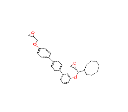 C1=C(c2ccc(OCC3CO3)cc2)CC=C(c2cccc(OC(C3CCCCCCC3)C3CO3)c2)C1